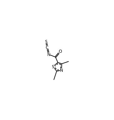 Cc1nc(C)c(C(=O)N=C=S)s1